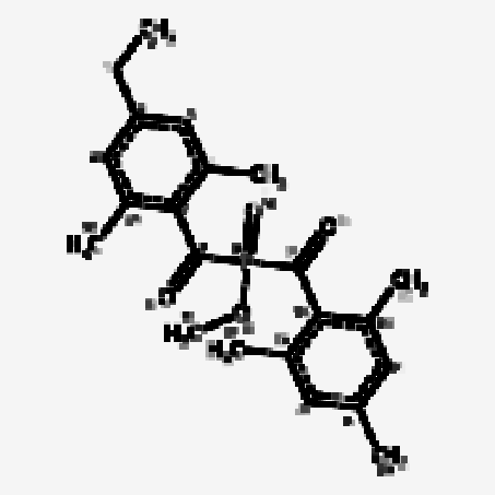 CCc1cc(C)c(C(=O)P(=O)(OC)C(=O)c2c(C)cc(C)cc2C)c(C)c1